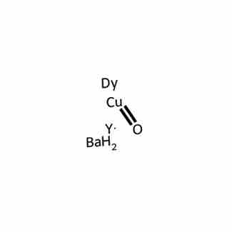 [BaH2].[Dy].[O]=[Cu].[Y]